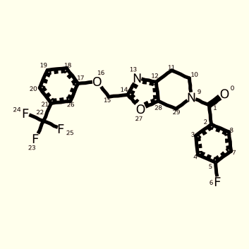 O=C(c1ccc(F)cc1)N1CCc2nc(COc3cccc(C(F)(F)F)c3)oc2C1